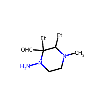 CCC1N(C)CCN(N)C1(C=O)CC